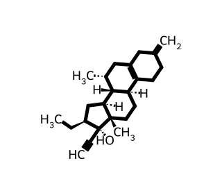 C#C[C@@]1(O)[C@@H](CC)C[C@H]2[C@@H]3[C@H](C)CC4=C(CCC(=C)C4)[C@H]3CC[C@@]21C